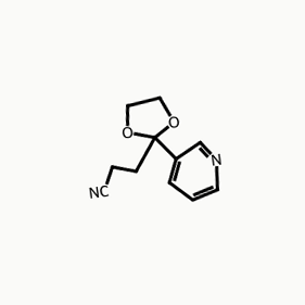 N#CCCC1(c2cccnc2)OCCO1